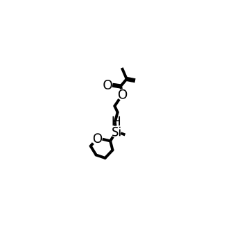 C=C(C)C(=O)OCCC[SiH](C)C1CCCCO1